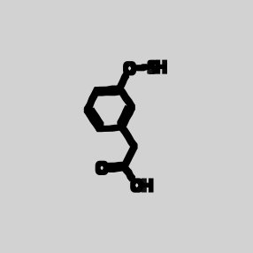 O=C(O)Cc1cccc(OS)c1